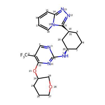 FC(F)(F)c1cnc(N[C@@H]2CCC[C@H](c3nnc4ccccn34)C2)nc1OC1CCCOC1